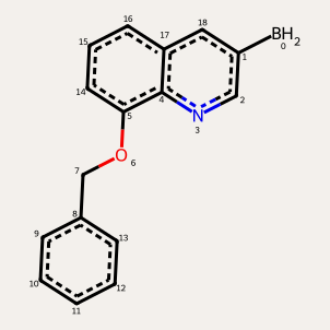 Bc1cnc2c(OCc3ccccc3)cccc2c1